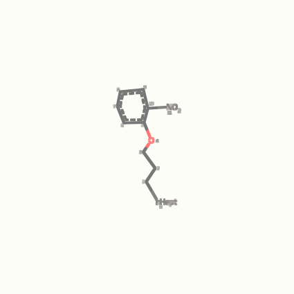 CCCCCCCCCCOc1ccccc1[N+](=O)[O-]